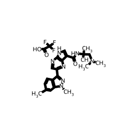 Cc1ccc2c(-c3cnc4[nH]cc(C(=O)NC(C)(C)CN(C)C)c4n3)nn(C)c2c1.O=C(O)C(F)(F)F